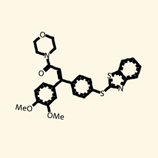 COc1ccc(C(=CC(=O)N2CCOCC2)c2ccc(Sc3nc4ccccc4s3)cc2)cc1OC